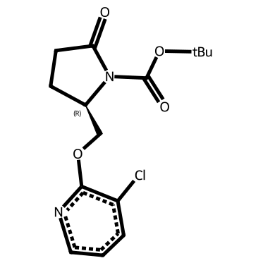 CC(C)(C)OC(=O)N1C(=O)CC[C@@H]1COc1ncccc1Cl